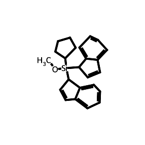 CO[Si](C1CCCC1)(C1C=Cc2ccccc21)C1C=Cc2ccccc21